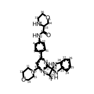 O=C(Nc1ccc(-c2cc(N3CCOCC3)nc(C3(C(F)F)Nc4ccccc4N3)n2)cc1)C1COCCN1